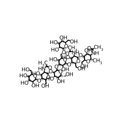 CC(=O)NC1[C@H](OC2C(O)[C@H](O)[C@@H](CO)O[C@@H]2O[C@@H]2C(O)[C@H](O[C@@H]3C(CO)O[C@@H](O[C@@H]4C(CO)O[C@@H](C)C(NC(C)=O)[C@H]4O)C(NC(C)=O)[C@H]3O)OC(CO[C@H]3OC(CO)[C@@H](O)[C@H](O)C3O)[C@H]2O)OC(CO)[C@@H](O[C@@H]2OC(CO)[C@H](O)[C@H](O)C2O)[C@@H]1O